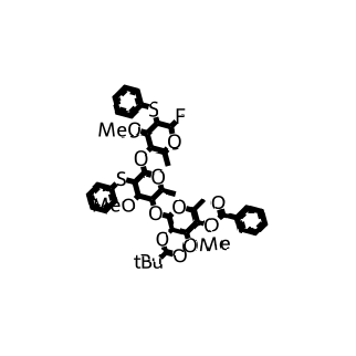 COC1C(OC(=O)c2ccccc2)C(C)OC(OC2C(C)OC(OC3C(C)OC(F)C(Sc4ccccc4)C3OC)C(Sc3ccccc3)C2OC)C1OC(=O)C(C)(C)C